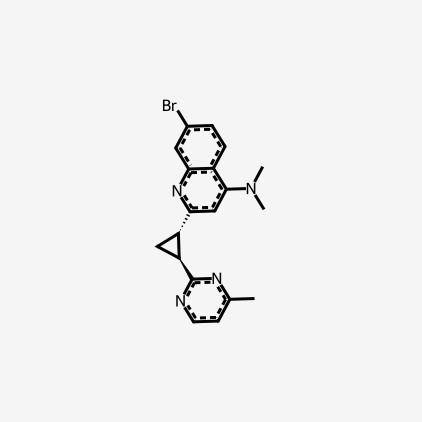 Cc1ccnc([C@H]2C[C@@H]2c2cc(N(C)C)c3ccc(Br)cc3n2)n1